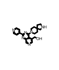 OCc1cncc2nc(-c3ccncc3)nc(N3CCC4(CCNC4)CC3)c12